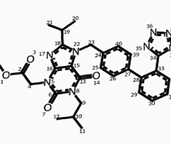 COC(=O)Cn1c(=O)n(CC(C)C)c(=O)c2c1nc(C(C)C)n2Cc1ccc(-c2ccccc2-c2nnn[nH]2)cc1